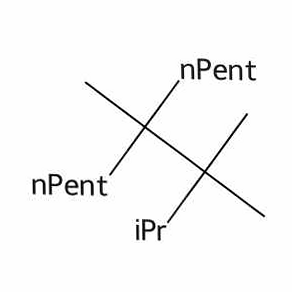 CCCCCC(C)(CCCCC)C(C)(C)C(C)C